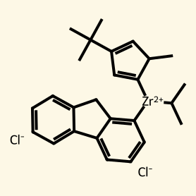 CC1C=C(C(C)(C)C)C=[C]1[Zr+2]([c]1cccc2c1Cc1ccccc1-2)[CH](C)C.[Cl-].[Cl-]